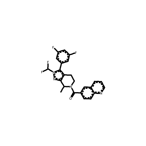 CC1c2nn(C(F)F)c(-c3cc(F)cc(F)c3)c2CCN1C(=O)c1ccc2ncccc2c1